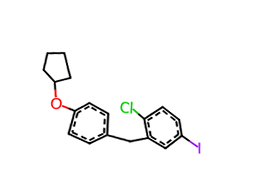 Clc1ccc(I)cc1Cc1ccc(OC2CCCC2)cc1